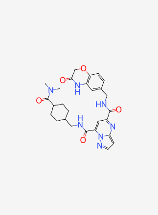 CN(C)C(=O)C1CCC(CNC(=O)c2cc(C(=O)NCc3ccc4c(c3)NC(=O)CO4)nc3ccnn23)CC1